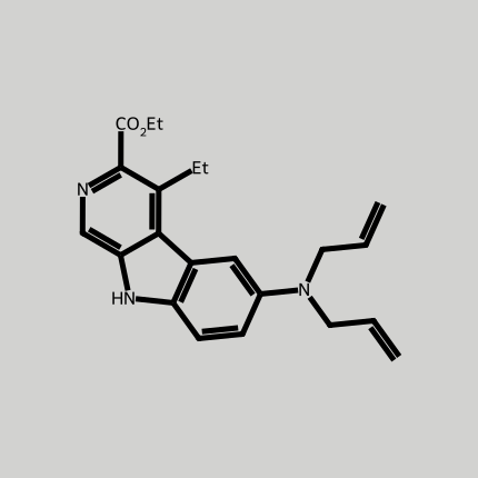 C=CCN(CC=C)c1ccc2[nH]c3cnc(C(=O)OCC)c(CC)c3c2c1